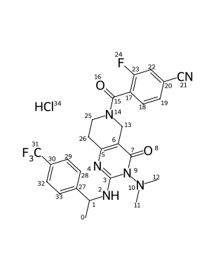 CC(Nc1nc2c(c(=O)n1N(C)C)CN(C(=O)c1ccc(C#N)cc1F)CC2)c1ccc(C(F)(F)F)cc1.Cl